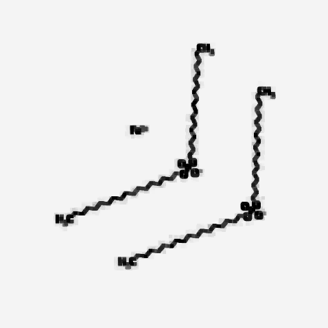 CCCCCCCCCCCCCCCCCCOP(=O)([O-])OCCCCCCCCCCCCCCCCCC.CCCCCCCCCCCCCCCCCCOP(=O)([O-])OCCCCCCCCCCCCCCCCCC.[Fe+2]